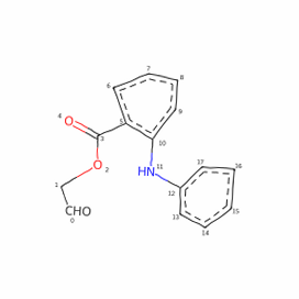 O=CCOC(=O)c1ccccc1Nc1ccccc1